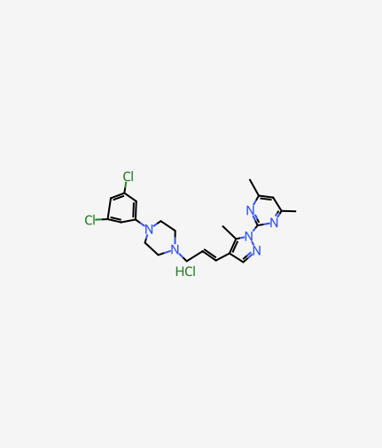 Cc1cc(C)nc(-n2ncc(C=CCN3CCN(c4cc(Cl)cc(Cl)c4)CC3)c2C)n1.Cl